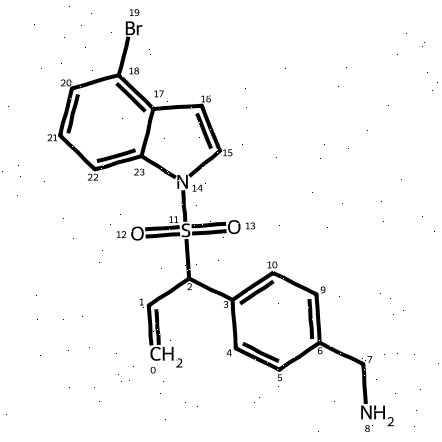 C=CC(c1ccc(CN)cc1)S(=O)(=O)n1ccc2c(Br)cccc21